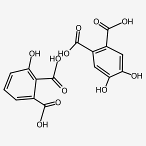 O=C(O)c1cc(O)c(O)cc1C(=O)O.O=C(O)c1cccc(O)c1C(=O)O